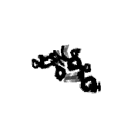 COc1cc(C(=O)NC2CCNCC2)ccc1Nc1ncc2c(n1)N(C1CCCC1)CCC(=O)N2C